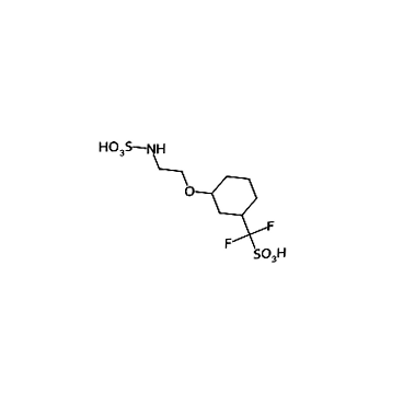 O=S(=O)(O)NCCOC1CCCC(C(F)(F)S(=O)(=O)O)C1